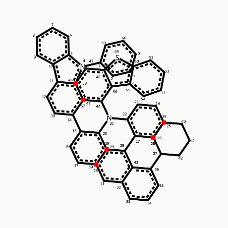 c1ccc(-n2c3ccccc3c3ccc(-c4ccccc4N(c4ccccc4-c4cccc5cccc(C6CCCCC6)c45)c4cccc5sc6ccccc6c45)cc32)cc1